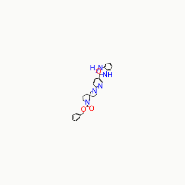 Nc1ccccc1NC(=O)c1ccc(N2CCC3(CCCN(C(=O)OCc4ccccc4)C3)C2)nc1